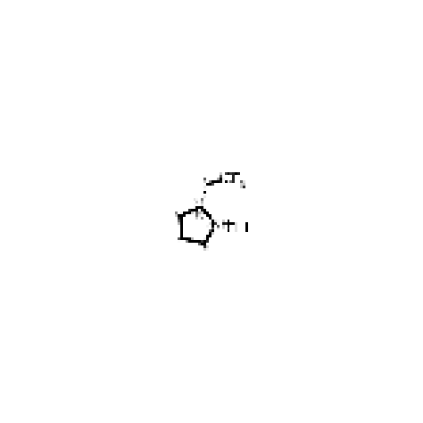 Cl.FC(F)(F)C[C@H]1CCCN1